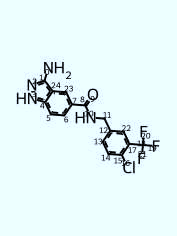 Nc1n[nH]c2ccc(C(=O)NCc3ccc(Cl)c(C(F)(F)F)c3)cc12